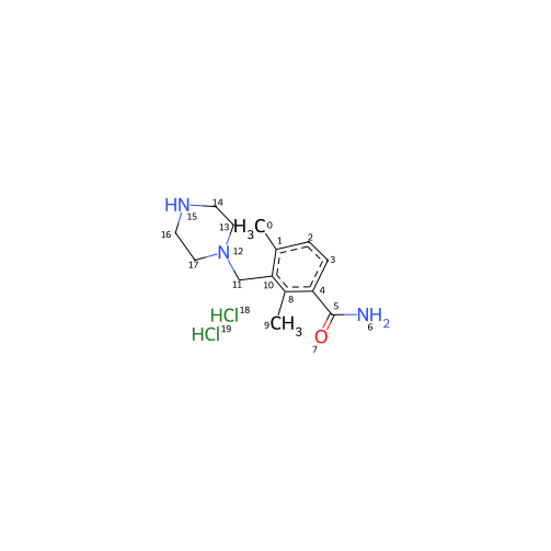 Cc1ccc(C(N)=O)c(C)c1CN1CCNCC1.Cl.Cl